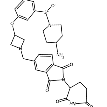 NC1CCN([S+]([O-])c2cccc(OC3CN(Cc4ccc5c(c4)C(=O)N(C4CCC(=O)NC4=O)C5=O)C3)c2)CC1